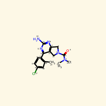 CCN(C)C(=O)N1Cc2nc(N)nc(-c3ccc(Cl)cc3C)c2C1